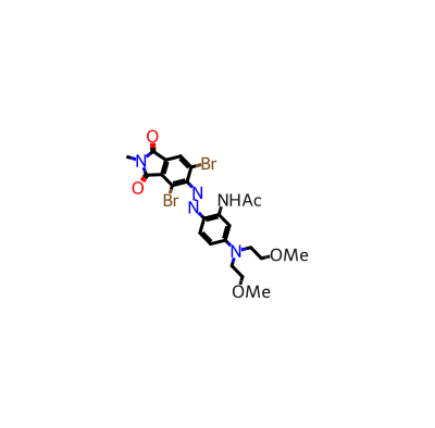 COCCN(CCOC)c1ccc(N=Nc2c(Br)cc3c(c2Br)C(=O)N(C)C3=O)c(NC(C)=O)c1